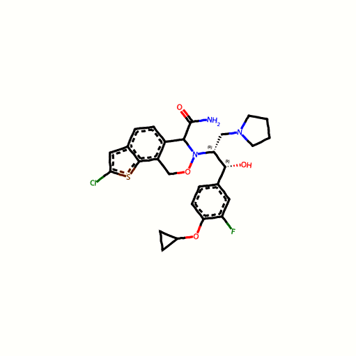 NC(=O)C1c2ccc3cc(Cl)sc3c2CON1[C@H](CN1CCCC1)[C@H](O)c1ccc(OC2CC2)c(F)c1